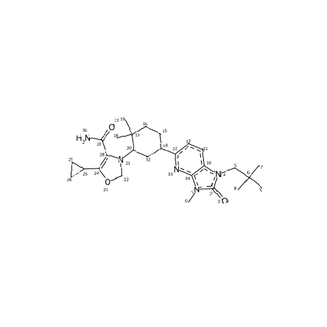 Cn1c(=O)n(CC(C)(C)C)c2ccc(C3CCC(C)(C)C(N4COC(C5CC5)=C4C(N)=O)C3)nc21